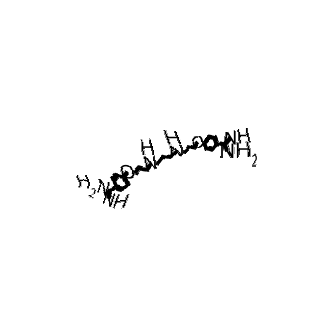 N=C(N)c1ccc(OCCCNCCCNCCCOc2ccc(C(=N)N)cc2)cc1